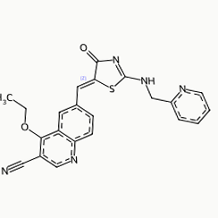 CCOc1c(C#N)cnc2ccc(/C=C3\SC(NCc4ccccn4)=NC3=O)cc12